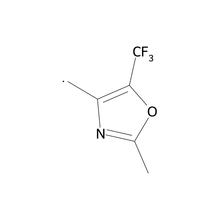 [CH2]c1nc(C)oc1C(F)(F)F